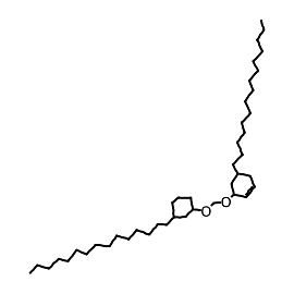 CCCCCCCCCCCCCCCC1CC=CC(OCOC2CCCC(CCCCCCCCCCCCCCC)C2)C1